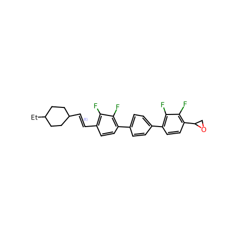 CCC1CCC(/C=C/c2ccc(-c3ccc(-c4ccc(C5CO5)c(F)c4F)cc3)c(F)c2F)CC1